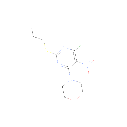 CCCSc1nc(Cl)c([N+](=O)[O-])c(N2CCOCC2)n1